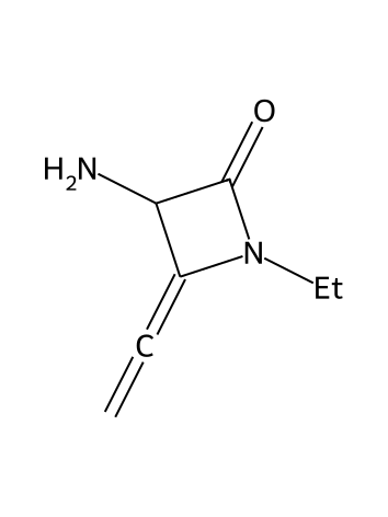 C=C=C1C(N)C(=O)N1CC